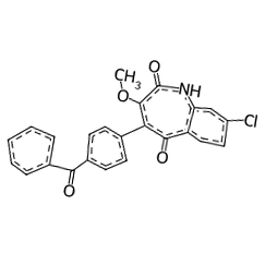 COc1c(-c2ccc(C(=O)c3ccccc3)cc2)c(=O)c2ccc(Cl)cc2[nH]c1=O